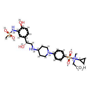 C[N+](CC(=O)O)(C1CC1)S(=O)(=O)c1ccc(N2CCC(NC[C@H](O)c3ccc(O)c(NS(C)(=O)=O)c3)CC2)cc1